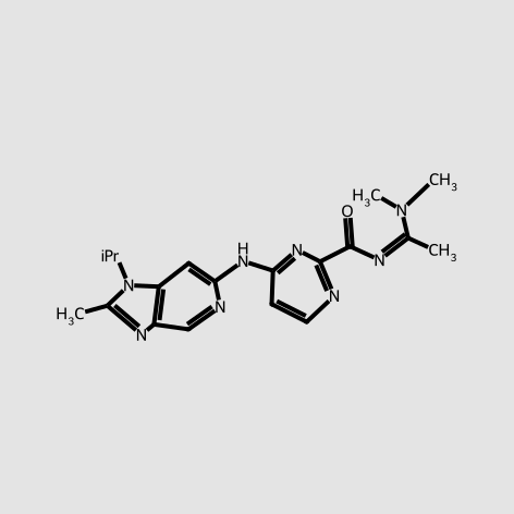 CC(=NC(=O)c1nccc(Nc2cc3c(cn2)nc(C)n3C(C)C)n1)N(C)C